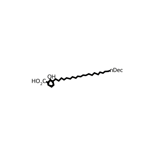 CCCCCCCCCCCCCCCCCCCCCCCCCCCCCCc1cccc(C(=O)O)c1O